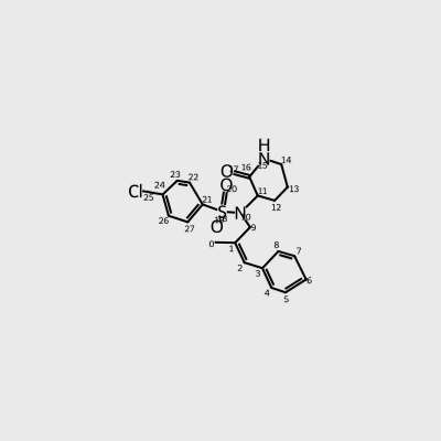 CC(=Cc1ccccc1)CN(C1CCCNC1=O)S(=O)(=O)c1ccc(Cl)cc1